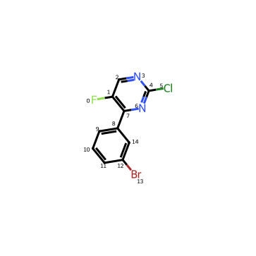 Fc1cnc(Cl)nc1-c1cccc(Br)c1